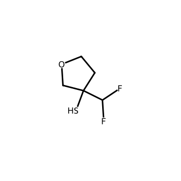 FC(F)C1(S)CCOC1